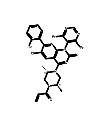 C=CC(=O)N1C[C@H](C)N(c2nc(=O)n(-c3c(C(C)C)ncnc3C(C)C)c3nc(-c4ccccc4C#N)c(Cl)cc23)C[C@H]1C